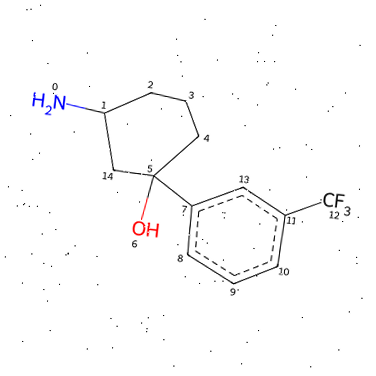 NC1CCCC(O)(c2cccc(C(F)(F)F)c2)C1